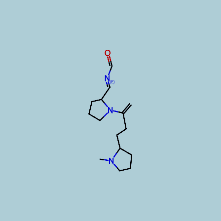 C=C(CCC1CCCN1C)N1CCCC1/C=N/C=O